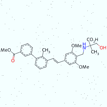 COC(=O)c1cccc(-c2cccc(/C=C/c3cc(OC)c(CNC(C)(CO)C(=O)O)c(OC)c3)c2C)c1